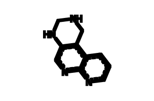 c1cnc2ncc3c(c2c1)CNCN3